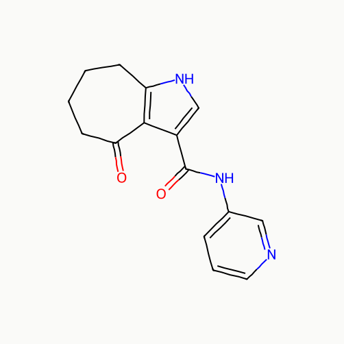 O=C(Nc1cccnc1)c1c[nH]c2c1C(=O)CCCC2